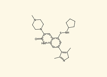 CC1=NCC(C)=C1c1cc(SNC2CCCC2)c2cc(N3CCN(C)CC3)c(=O)[nH]c2c1